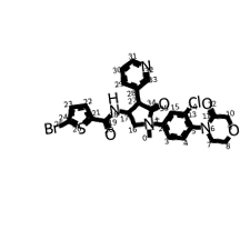 C[N+]1(c2ccc(N3CCOCC3=O)c(Cl)c2)CC(NC(=O)c2ccc(Br)s2)C(c2cccnc2)C1=O